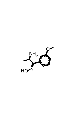 COc1cccc(C(=NO)C(C)N)c1